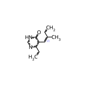 C=C/C(C)=C\c1c(C=C)nc[nH]c1=O